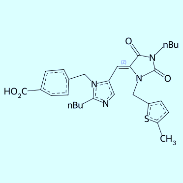 CCCCc1ncc(/C=C2/C(=O)N(CCCC)C(=O)N2Cc2ccc(C)s2)n1Cc1ccc(C(=O)O)cc1